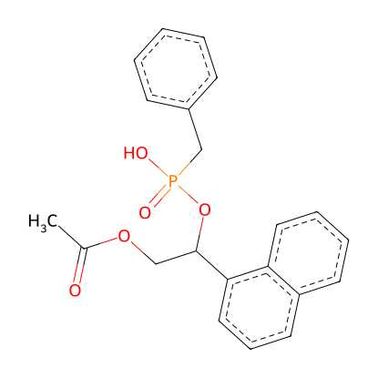 CC(=O)OCC(OP(=O)(O)Cc1ccccc1)c1cccc2ccccc12